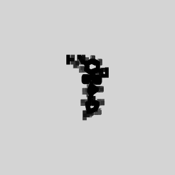 Nc1ccc(Cl)c(S(=O)(=O)C2CC(N3CC[C@@H](F)C3)C2)c1